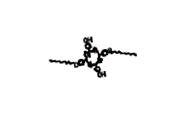 CCCCCCCCCCCOc1ccc(C2=C3C=CC(=N3)C(c3ccc(O)cc3)=C3C=CC(=N3)C(c3ccc(OCCCCCCCCCCC)cc3)=C3C=CC(=N3)C(c3ccc(O)cc3)=C3C=CC2=N3)cc1